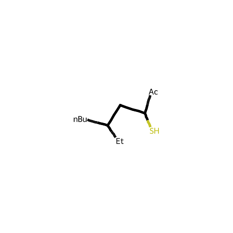 CCCCC(CC)CC(S)C(C)=O